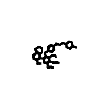 COc1cc(-c2c(O)ccc3c2CCCC3)c(Cc2ccc(OCCN3CCC(C)CC3)cc2)c(N)c1OC